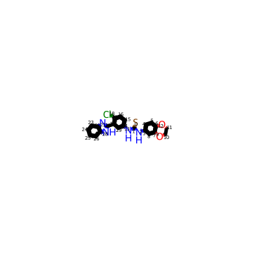 S=C(Nc1ccc2c(c1)OCCO2)Nc1ccc(Cl)c(-c2nc3ccccc3[nH]2)c1